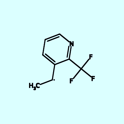 C[CH]c1cccnc1C(F)(F)F